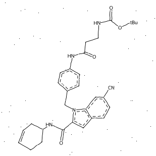 CC(C)(C)OC(=O)NCCC(=O)Nc1ccc(Cn2c(C(=O)NC3CC=CCC3)cc3ccc(C#N)cc32)cc1